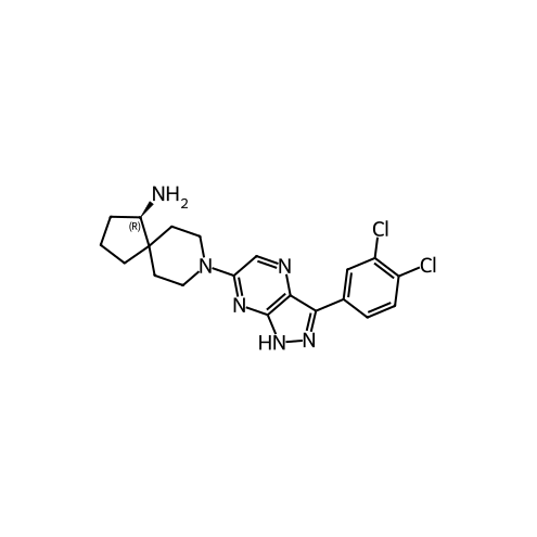 N[C@@H]1CCCC12CCN(c1cnc3c(-c4ccc(Cl)c(Cl)c4)n[nH]c3n1)CC2